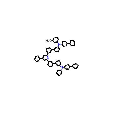 CC1C=C(N(c2ccc(-c3ccccc3)cc2)c2cccc(-c3cccc(-c4cc(-c5ccccc5)cc(-c5cccc(-c6cccc(N(c7ccccc7)c7ccc(-c8ccccc8)cc7)c6)c5)n4)c3)c2)C=CC1